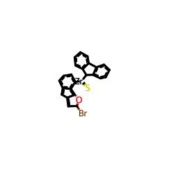 [S]=[Zr]([c]1cccc2c1=C1OC(Br)C=C1C=2)[CH]1c2ccccc2-c2ccccc21